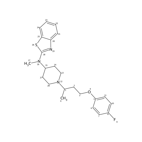 CC(CCOc1ccc(F)cc1)N1CCC(N(C)c2nc3ccccc3s2)CC1